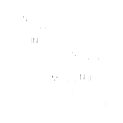 COP(=O)(c1ccc(Cl)cc1)N(c1cc(-c2ccc(NC(=O)C3=CCC=N3)cc2)sc1C(=O)O)C(C)C